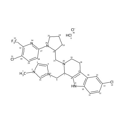 Cl.Cn1cc[n+](CC2c3[nH]c4ccc(Cl)cc4c3CCN2CC2CCCN2c2ccc(Cl)c(C(F)(F)F)n2)c1.[Cl-]